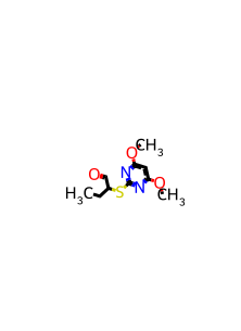 CCC(C=O)Sc1nc(OC)cc(OC)n1